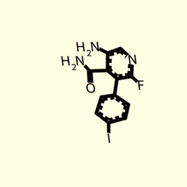 NC(=O)c1c(N)cnc(F)c1-c1ccc(I)cc1